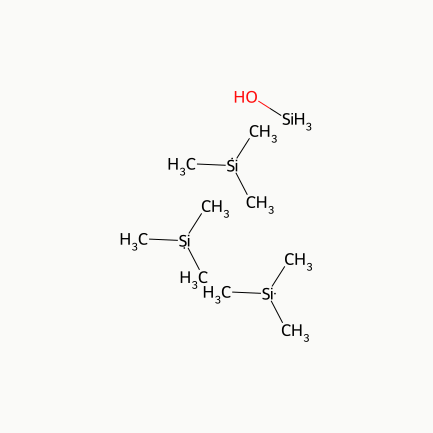 C[Si](C)C.C[Si](C)C.C[Si](C)C.O[SiH3]